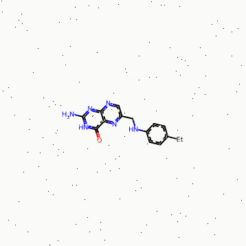 CCc1ccc(NCc2cnc3nc(N)[nH]c(=O)c3n2)cc1